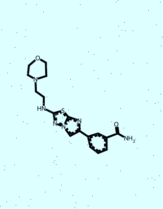 NC(=O)c1cccc(-c2cn3nc(NCCN4CCOCC4)sc3n2)c1